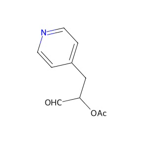 CC(=O)OC(C=O)Cc1ccncc1